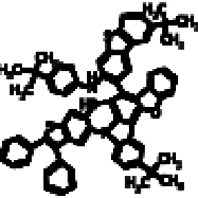 CC(C)(C)c1ccc(Nc2cc3sc4ccc(C(C)(C)C)cc4c3cc2-c2c3c4c(c5cc(C(C)(C)C)ccc5n4-c4cc5c(-c6ccccc6)c(-c6ccccc6)sc5cc4B3)c3oc4ccccc4c23)cc1